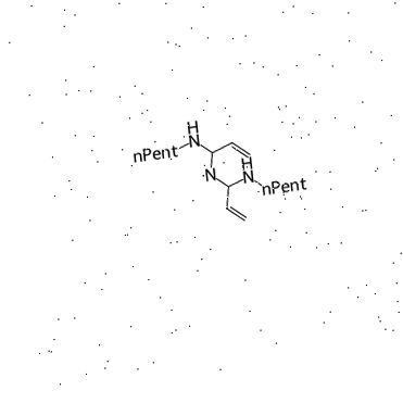 C=CC([N]C(C=C)NCCCCC)NCCCCC